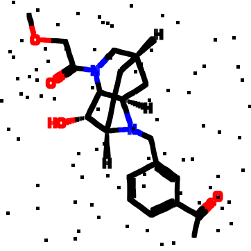 COCC(=O)N1C[C@@H]2C[C@@H]3C1[C@@H](O)[C@H](C2)N3Cc1cccc(C(C)=O)c1